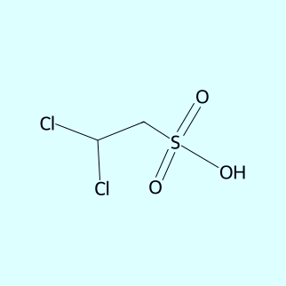 O=S(=O)(O)CC(Cl)Cl